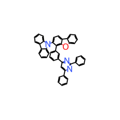 c1ccc(-c2cc(-c3cccc(-c4c(-n5c6ccccc6c6ccccc65)ccc5c4oc4ccccc45)c3)nc(-c3ccccc3)n2)cc1